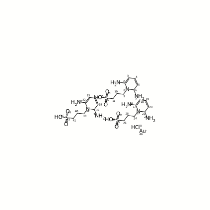 Cl.NC1=CC=CC(N)N1CCCS(=O)(=O)O.NC1=CC=CC(N)N1CCCS(=O)(=O)O.NC1=CC=CC(N)N1CCCS(=O)(=O)O.[Au]